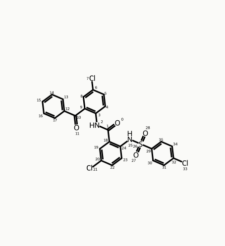 O=C(Nc1ccc(Cl)cc1C(=O)c1ccccc1)c1cc(Cl)ccc1NS(=O)(=O)c1ccc(Cl)cc1